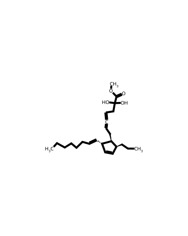 CCCCCCC=C[C@H]1C=C[C@H](CCC)[C@@H]1CC=C=CCC(O)(O)C(=O)OC